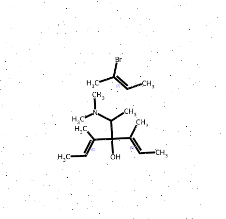 C/C=C(/C)Br.C/C=C(\C)C(O)(/C(C)=C/C)C(C)N(C)C